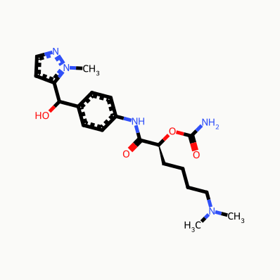 CN(C)CCCC[C@H](OC(N)=O)C(=O)Nc1ccc(C(O)c2ccnn2C)cc1